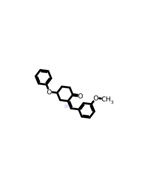 COc1cccc(/C=C2/CC(Oc3ccccc3)CCC2=O)c1